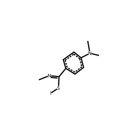 C/N=C(\SI)c1ccc(N(C)C)cc1